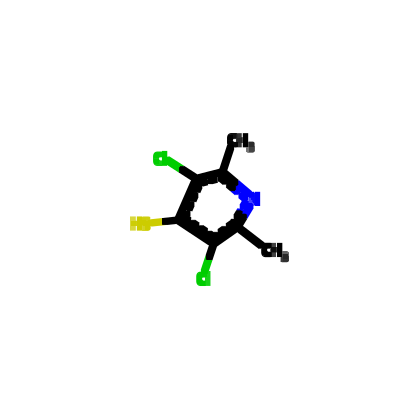 Cc1nc(C)c(Cl)c(S)c1Cl